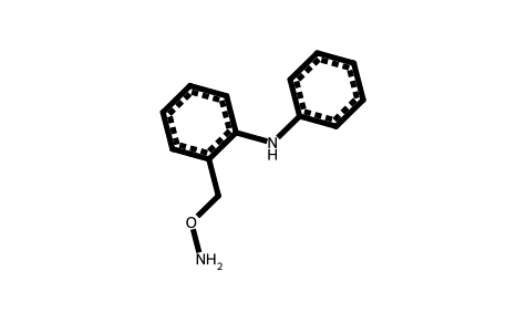 NOCc1ccccc1Nc1ccccc1